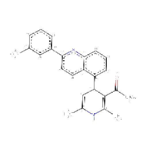 COC(=O)C1=C(C)NC(C)=CC1c1cccc2nc(-c3cccc([N+](=O)[O-])c3)ccc12